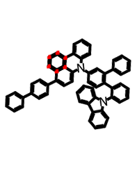 c1ccc(-c2ccc(-c3ccc(N(c4ccc(-c5ccccc5-n5c6ccccc6c6ccccc65)c(-c5ccccc5)c4)c4ccccc4-c4ccccc4)c4ccccc34)cc2)cc1